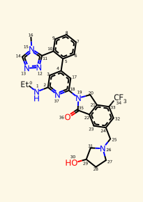 CCNc1cc(-c2ccccc2-c2nncn2C)cc(N2Cc3c(cc(CN4CCC(O)C4)cc3C(F)(F)F)C2=O)n1